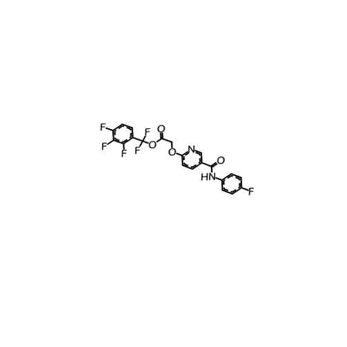 O=C(COc1ccc(C(=O)Nc2ccc(F)cc2)cn1)OC(F)(F)c1ccc(F)c(F)c1F